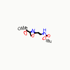 COC(=O)C1COC(CCNC(=O)OC(C)(C)C)=N1